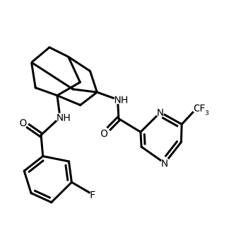 O=C(NC12CC3CC(C1)CC(NC(=O)c1cncc(C(F)(F)F)n1)(C3)C2)c1cccc(F)c1